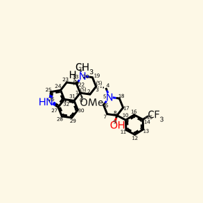 CO[C@]12C[C@@H](CN3CCC(O)(c4cccc(C(F)(F)F)c4)CC3)CN(C)[C@@H]1Cc1c[nH]c3cccc2c13